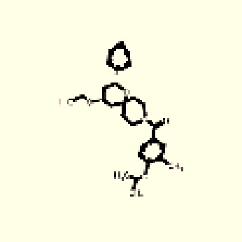 CCO[C@H]1C[C@H](c2ccccc2)OC2(CCN(C(=O)c3ccc(OC(C)C)c(C)c3)CC2)C1